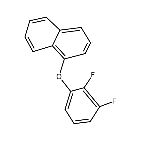 Fc1cccc(Oc2c[c]cc3ccccc23)c1F